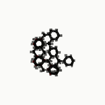 c1ccc(N(c2ccccc2)c2ccc(N3c4ccccc4Sc4ccccc43)c(N3c4ccccc4Sc4ccccc43)c2N2c3ccccc3Sc3ccccc32)cc1